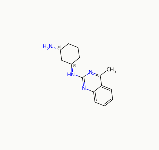 Cc1nc(N[C@@H]2CCC[C@@H](N)C2)nc2ccccc12